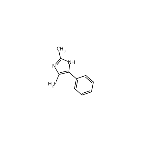 Cc1nc(P)c(-c2ccccc2)[nH]1